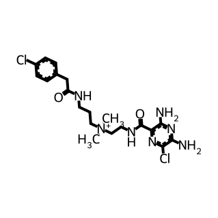 C[N+](C)(CCCNC(=O)Cc1ccc(Cl)cc1)CCNC(=O)c1nc(Cl)c(N)nc1N